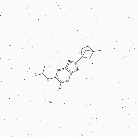 CC(C)Oc1nc2nc(C34COC(C)(C3)C4)cn2cc1I